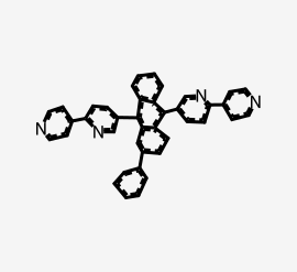 c1ccc(-c2ccc3c(-c4ccc(-c5ccncc5)nc4)c4ccccc4c(-c4ccc(-c5ccncc5)nc4)c3c2)cc1